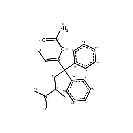 C/C=C(\OC(N)=O)C(CC(C)N(C)C)(c1ccccc1)c1ccccc1